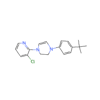 CC(C)(C)c1ccc(N2C=CN(c3ncccc3Cl)CC2)cc1